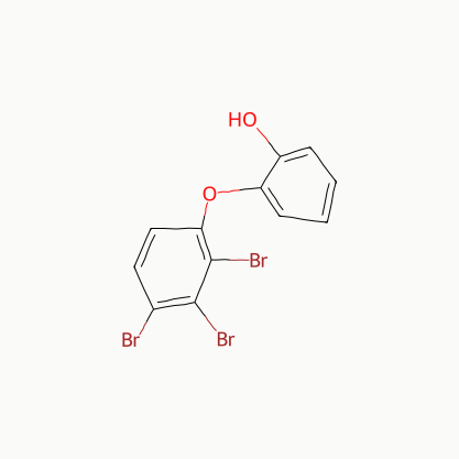 Oc1ccccc1Oc1ccc(Br)c(Br)c1Br